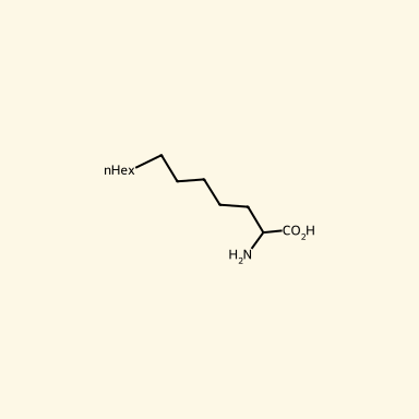 CCCCCCCCCCCC(N)C(=O)O